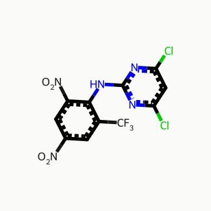 O=[N+]([O-])c1cc([N+](=O)[O-])c(Nc2nc(Cl)cc(Cl)n2)c(C(F)(F)F)c1